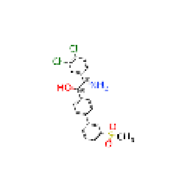 CS(=O)(=O)c1cccc(-c2ccc([C@@H](O)[C@@H](N)c3ccc(Cl)c(Cl)c3)cc2)c1